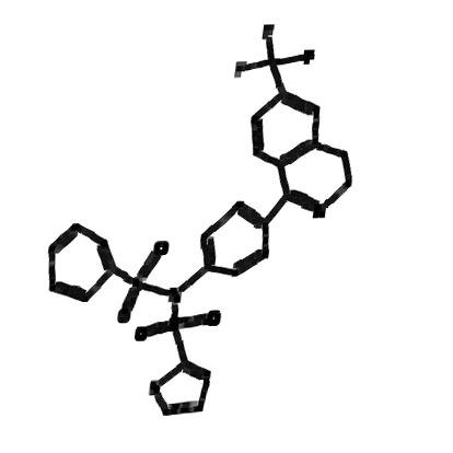 O=S(=O)(c1ccccc1)N(c1ccc(C2=NCCc3cc(C(F)(F)F)ccc32)cc1)S(=O)(=O)c1cccs1